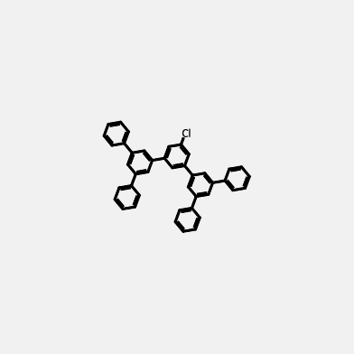 Clc1cc(-c2cc(-c3ccccc3)cc(-c3ccccc3)c2)cc(-c2cc(-c3ccccc3)cc(-c3ccccc3)c2)c1